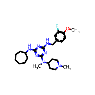 COc1ccc(CNc2nc(NC3CCCCCC3)nc(N(C)C3CCN(C)CC3)n2)cc1F